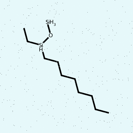 CCCCCCCC[SiH](CC)O[SiH3]